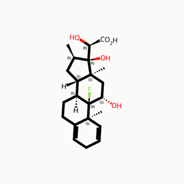 C[C@@H]1C[C@H]2[C@@H]3CCC4=CCC=C[C@]4(C)[C@@]3(F)[C@@H](O)C[C@]2(C)[C@@]1(O)[C@@H](O)C(=O)O